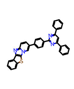 c1ccc(-c2cc(-c3ccccc3)nc(-c3ccc(-c4ccc5nc6c7ccccc7sc6n5c4)cc3)n2)cc1